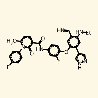 CCNc1cc(-c2cn[nH]c2)c(Oc2ccc(NC(=O)c3ccc(C)n(-c4ccc(F)cc4)c3=O)cc2F)cc1C=N